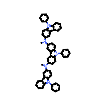 CN(c1ccc2c(c1)c1ccccc1n2-c1ccccc1)c1ccc2c(c1)c1cc(N(C)c3ccc4c(c3)c3ccccc3n4-c3ccccc3)ccc1n2-c1ccccc1